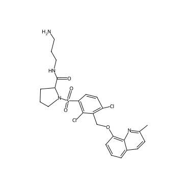 Cc1ccc2cccc(OCc3c(Cl)ccc(S(=O)(=O)N4CCCC4C(=O)NCCCN)c3Cl)c2n1